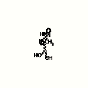 Cc1c(SCCN(CCO)CCO)ccnc1CSc1nc2ccccc2[nH]1